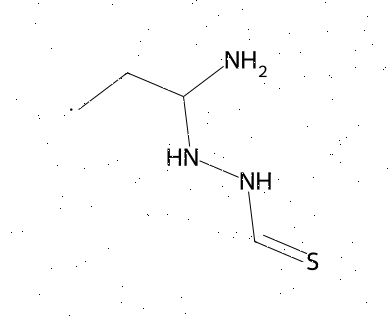 [CH2]CC(N)NNC=S